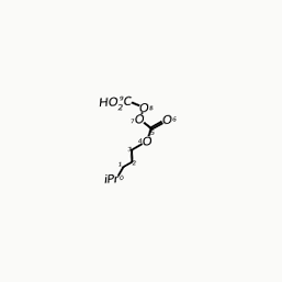 CC(C)CCCOC(=O)OOC(=O)O